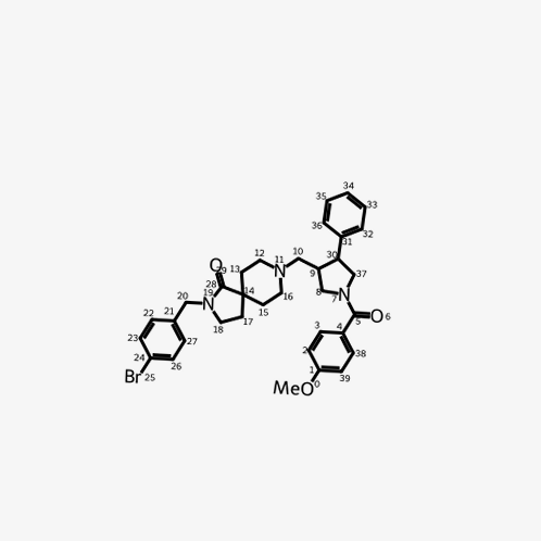 COc1ccc(C(=O)N2CC(CN3CCC4(CC3)CCN(Cc3ccc(Br)cc3)C4=O)C(c3ccccc3)C2)cc1